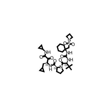 CC(C)(C)[C@H](NC(=O)NC1(CS(=O)(=O)N2CCC2)CCCCC1)C(=O)N1CCC[C@H]1C(=O)N[C@@H](CC1CC1)C(=O)C(=O)NC1CC1